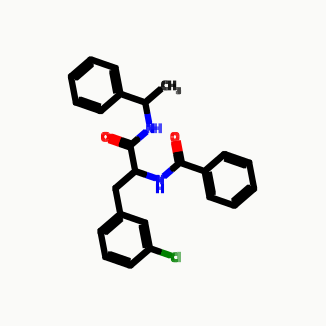 CC(NC(=O)C(Cc1cccc(Cl)c1)NC(=O)c1ccccc1)c1ccccc1